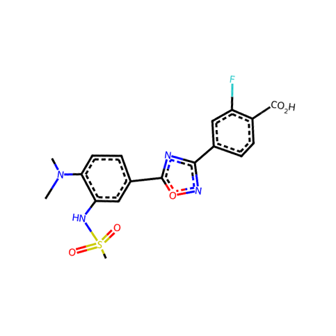 CN(C)c1ccc(-c2nc(-c3ccc(C(=O)O)c(F)c3)no2)cc1NS(C)(=O)=O